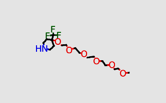 COCCOCCOCCOCCOCCOC1(C(F)(F)F)CCNCC1